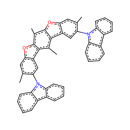 Cc1cc2oc3c(C)c4oc5cc(C)c(-n6c7ccccc7c7ccccc76)cc5c4c(C)c3c2cc1-n1c2ccccc2c2ccccc21